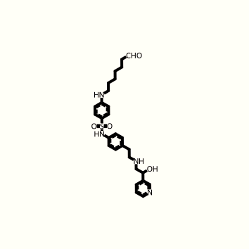 O=CCCCCCCNc1ccc(S(=O)(=O)Nc2ccc(CCNCC(O)c3cccnc3)cc2)cc1